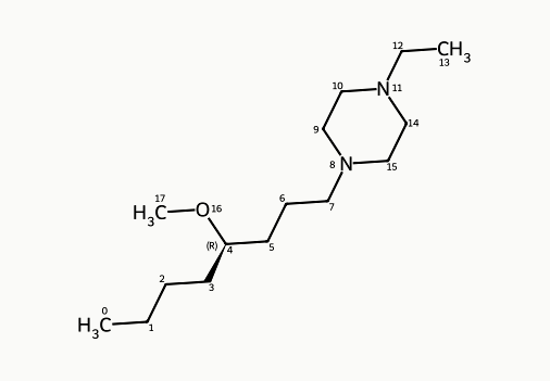 CCCC[C@H](CCCN1CCN(CC)CC1)OC